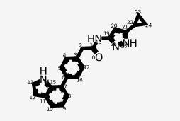 O=C(Cc1ccc(-c2cccc3cc[nH]c23)cc1)Nc1cc(C2CC2)[nH]n1